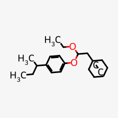 CCOC(CC12CCC(CC1)CC2)Oc1ccc(C(C)CC)cc1